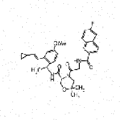 COc1ccc([C@H](C)NC(=O)[C@@H]2COC(C)(C)CN2C(=O)CNC(=O)c2ccc3cc(F)ccc3n2)c(/C=C/C2CC2)c1